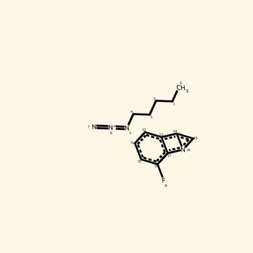 CCCCCN=[N+]=[N-].Fc1cccc2c3cn-3c12